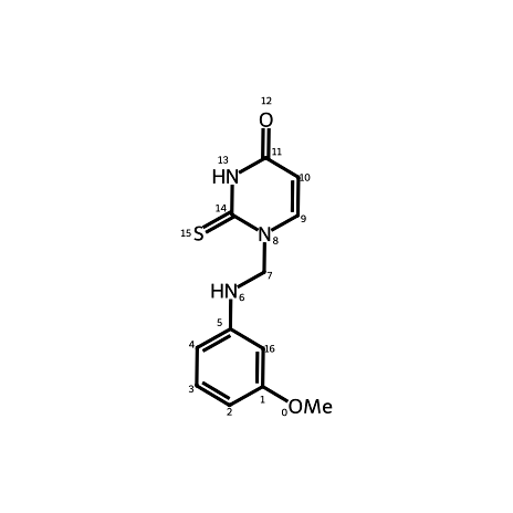 COc1cccc(NCn2ccc(=O)[nH]c2=S)c1